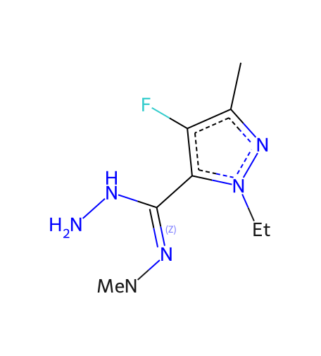 CCn1nc(C)c(F)c1/C(=N/NC)NN